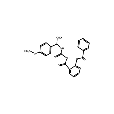 O=[C]C(NC(=O)NC(=O)c1ccccc1OC(=O)c1ccccc1)c1ccc(OS(=O)(=O)O)cc1